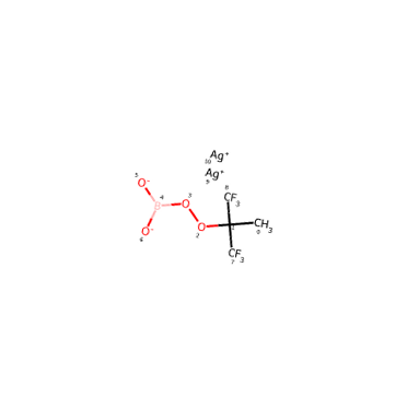 CC(OOB([O-])[O-])(C(F)(F)F)C(F)(F)F.[Ag+].[Ag+]